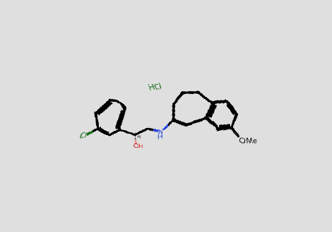 COc1ccc2c(c1)CC(NC[C@H](O)c1cccc(Cl)c1)CCC2.Cl